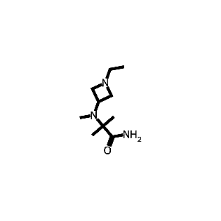 CCN1CC(N(C)C(C)(C)C(N)=O)C1